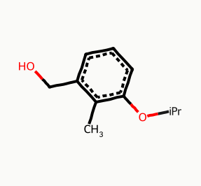 Cc1c(CO)cccc1OC(C)C